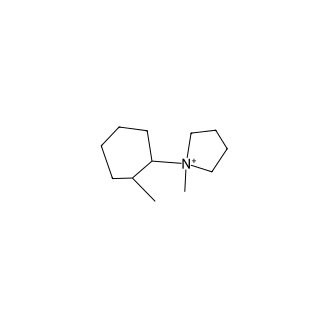 CC1CCCCC1[N+]1(C)CCCC1